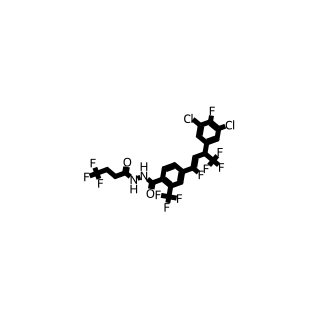 O=C(CCC(F)(F)F)NNC(=O)c1ccc(/C(F)=C/C(c2cc(Cl)c(F)c(Cl)c2)C(F)(F)F)cc1C(F)(F)F